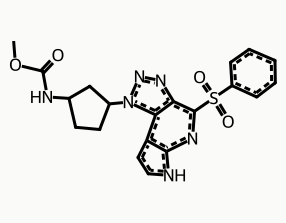 COC(=O)NC1CCC(n2nnc3c(S(=O)(=O)c4ccccc4)nc4[nH]ccc4c32)C1